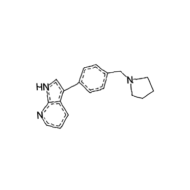 c1cnc2[nH]cc(-c3ccc(CN4CCCC4)cc3)c2c1